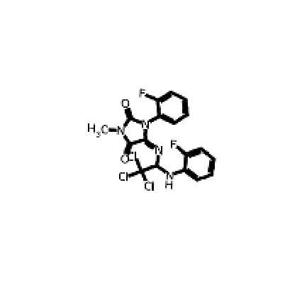 CN1C(=O)C(=NC(Nc2ccccc2F)C(Cl)(Cl)Cl)N(c2ccccc2F)C1=O